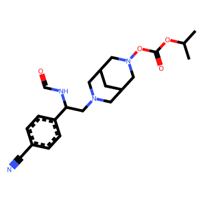 CC(C)OC(=O)ON1CC2CC(CN(CC(NC=O)c3ccc(C#N)cc3)C2)C1